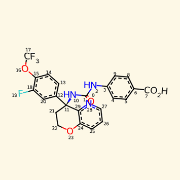 O=C(Nc1ccc(C(=O)O)cc1)N[C@]1(c2ccc(OC(F)(F)F)c(F)c2)CCOc2cccnc21